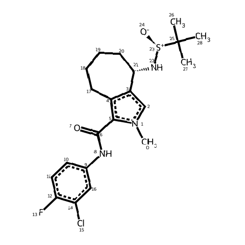 Cn1cc2c(c1C(=O)Nc1ccc(F)c(Cl)c1)CCCC[C@@H]2N[S@@+]([O-])C(C)(C)C